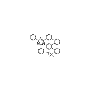 CC1(C)c2ccccc2-c2c(-c3ccccc3-c3cccc(-c4nc(-c5ccccc5)nc(-c5ccccc5)n4)c3)cccc2C1(C)C